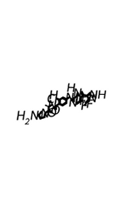 C[C@@H](NC(=O)c1ccc(Nc2nccn3c(-c4c[nH]nc4C(F)(F)F)cnc23)cc1Cl)C(=O)N1CC[C@H](N)C1